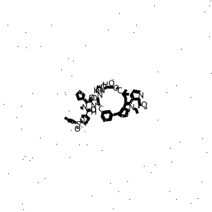 CC#C[S+]([O-])N1CC[C@H](C(=O)N(C)[C@H](C(=O)N[C@H]2Cc3cccc(c3)-c3ccc4c(c3)c(c(-c3cccnc3[C@H](C)OC)n4CC)CC(C)(C)COC(=O)[C@@H]3CCCN(N3)C2=O)C2CCCC2)C1